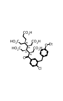 CCOc1ccc(Cc2cc(C(=O)[C@H](CC(=O)O)[C@@H](CC(=O)O)[C@H](CC(=O)O)[C@H](CCC(=O)O)CC(=O)O)ccc2Cl)cc1